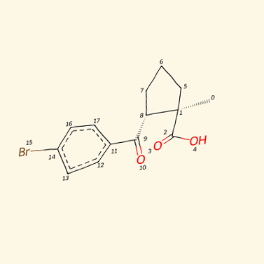 C[C@@]1(C(=O)O)CCC[C@H]1C(=O)c1ccc(Br)cc1